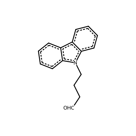 O=CCCCn1c2ccccc2c2ccccc21